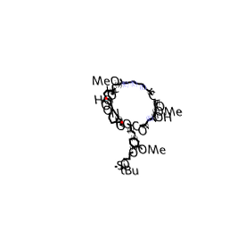 CO[C@H]1C[C@@H]2CCC(C)[C@@](O)(O2)C(=O)C(=O)N2CCCC[C@H]2C(=O)OC([C@H](C)C[C@@H]2CC[C@@H](OCCCO[Si](C)(C)C(C)(C)C)[C@H](OC)C2)CC(=O)[C@H](C)/C=C(\C)[C@@H](O)[C@@H](OC)C(=O)[C@H](C)C[C@H](C)/C=C/C=C/C=C/1C